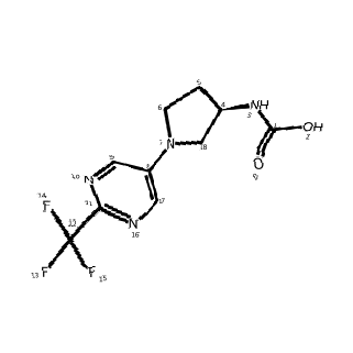 O=C(O)N[C@@H]1CCN(c2cnc(C(F)(F)F)nc2)C1